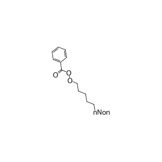 CCCCCCCCCCCCCCOOC(=O)c1ccccc1